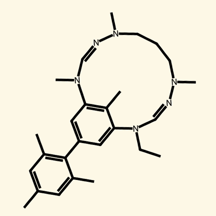 CCN1/C=N\N(C)CCCN(C)/N=C\N(C)c2cc(-c3c(C)cc(C)cc3C)cc1c2C